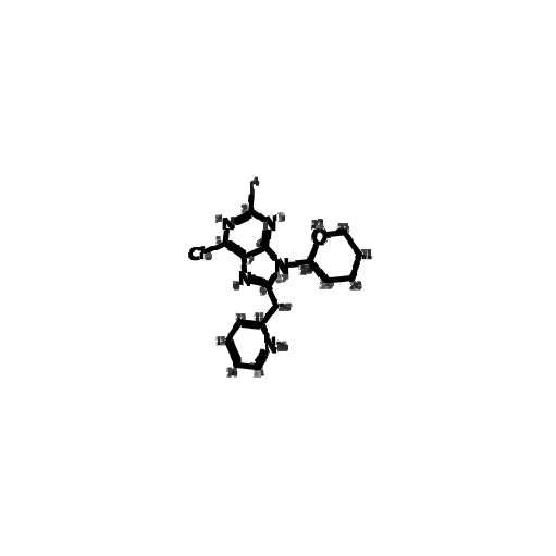 Clc1nc(I)nc2c1nc(Cc1ccccn1)n2C1CCCCO1